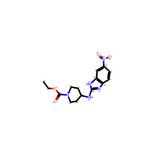 CCOC(=O)N1CCC(Nc2nc3ccc([N+](=O)[O-])cc3[nH]2)CC1